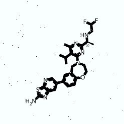 Cc1nc([C@H](C)NCC(F)F)nc(N2CCOc3ccc(-c4cnc5sc(N)nc5c4)cc3C2)c1C(C)C